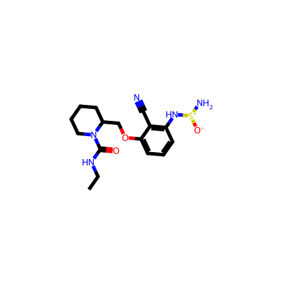 CCNC(=O)N1CCCCC1COc1cccc(N[S+](N)[O-])c1C#N